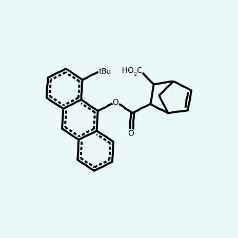 CC(C)(C)c1cccc2cc3ccccc3c(OC(=O)C3C4C=CC(C4)C3C(=O)O)c12